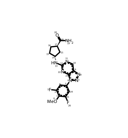 COc1c(F)cc(-n2nnc3cnc(N[C@@H]4CC[C@@H](C(N)=O)C4)nc32)cc1F